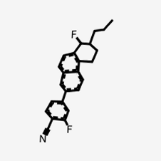 CCCC1CCc2c(ccc3cc(-c4ccc(C#N)c(F)c4)ccc23)C1F